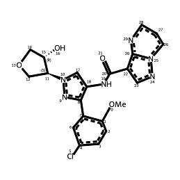 COc1ccc(Cl)cc1-c1nn([C@H]2COC[C@@H]2O)cc1NC(=O)c1cnn2cccnc12